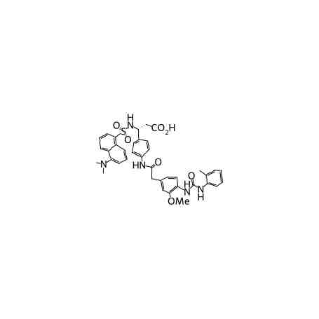 COc1cc(CC(=O)Nc2ccc([C@@H](CC(=O)O)NS(=O)(=O)c3cccc4c(N(C)C)cccc34)cc2)ccc1NC(=O)Nc1ccccc1C